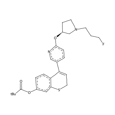 CC(C)(C)C(=O)Oc1ccc2c(c1)SCC=C2c1ccc(O[C@H]2CCN(CCCF)C2)nc1